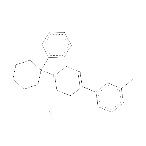 Cc1cccc(C2=CCN(C3(c4ccccc4)CCCCC3)CC2)c1.Cl